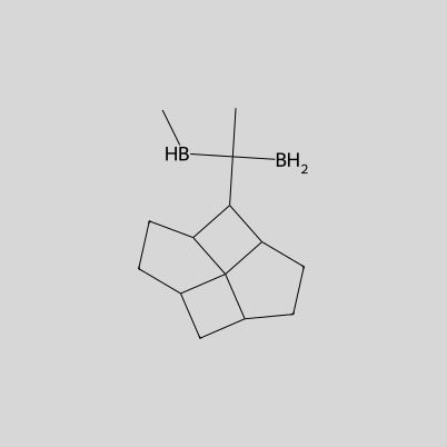 BC(C)(BC)C1C2CCC3CC4CCC1C342